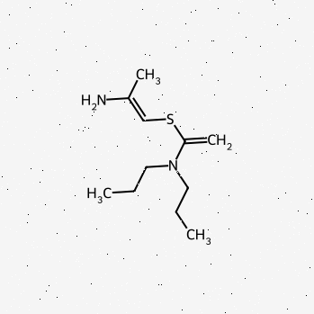 C=C(S/C=C(\C)N)N(CCC)CCC